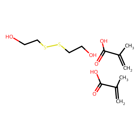 C=C(C)C(=O)O.C=C(C)C(=O)O.OCCSSCCO